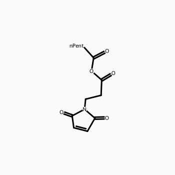 CCCCCC(=O)OC(=O)CCN1C(=O)C=CC1=O